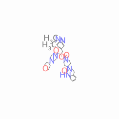 Cc1cc(C[C@@H](OC(=O)N2CCC(N3CCc4ccccc4NC3=O)CC2)C(=O)N2CCN(C3CCOCC3)CC2)cc2ncn(C)c12